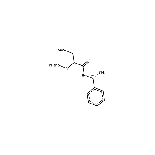 [CH2]SCC(NCCCCC)C(=O)N[C@H](C)c1ccccc1